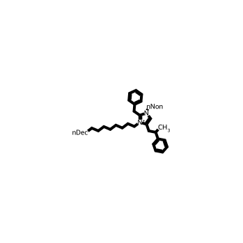 CCCCCCCCCCCCCCCCCC[n+]1c(CC(C)c2ccccc2)cn(CCCCCCCCC)c1Cc1ccccc1